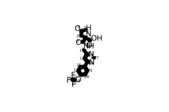 O=C1CNC(C(=O)O)(C(=O)NCc2cc(-c3ccc(OC(F)(F)F)cc3)ncn2)C1